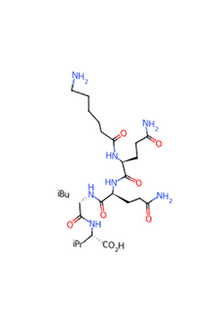 CC[C@H](C)[C@H](NC(=O)[C@H](CCC(N)=O)NC(=O)[C@H](CCC(N)=O)NC(=O)CCCCCN)C(=O)N[C@H](C(=O)O)C(C)C